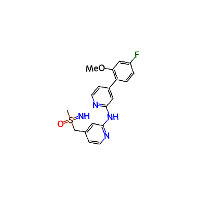 COc1cc(F)ccc1-c1ccnc(Nc2cc(CS(C)(=N)=O)ccn2)c1